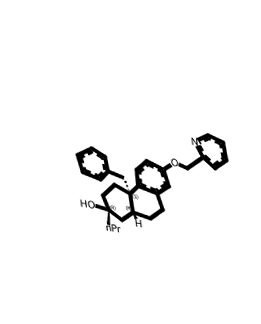 CCC[C@@]1(O)CC[C@@]2(Cc3ccccc3)c3ccc(OCc4ccccn4)cc3CC[C@@H]2C1